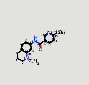 CN1CCCc2ccc(NC(=O)c3ccc(C(C)(C)C)nc3)cc21